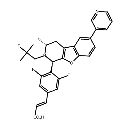 C[C@@H]1Cc2c(oc3ccc(-c4cccnc4)cc23)[C@@H](c2c(F)cc(/C=C/C(=O)O)cc2F)N1CC(C)(C)F